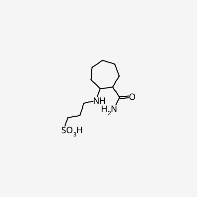 NC(=O)C1CCCCCC1NCCCS(=O)(=O)O